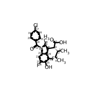 CCC(C)[C@@H](C(=O)O)c1c(C)n(C(=O)c2ccc(Cl)cc2)c2cc(F)c(O)c(F)c12